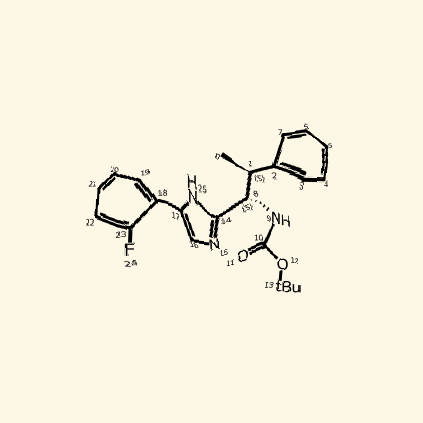 C[C@@H](c1ccccc1)[C@H](NC(=O)OC(C)(C)C)c1ncc(-c2ccccc2F)[nH]1